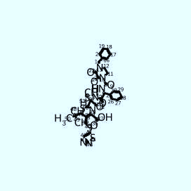 CS[C@@]1(NC(=O)C(NC(=O)N2CCN(Cc3ccccc3)C(=O)C2=O)c2ccccc2)C(=O)N2C(C(=O)O)=C(CSc3cnns3)C(C(C)(C)C)S[C@H]21